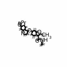 CCCOc1ccc2c(Oc3ccc4c(C(=O)NC5CC5)c(C)oc4c3)ccnc2c1